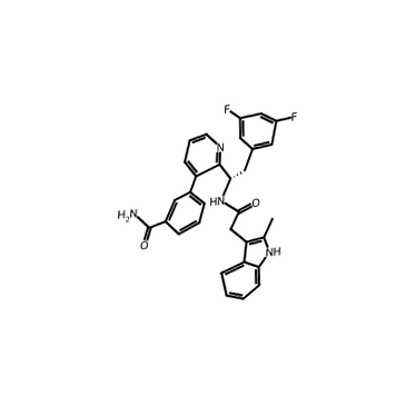 Cc1[nH]c2ccccc2c1CC(=O)N[C@@H](Cc1cc(F)cc(F)c1)c1ncccc1-c1cccc(C(N)=O)c1